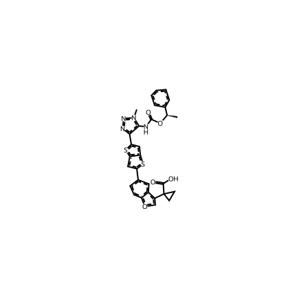 C[C@@H](OC(=O)Nc1c(-c2cc3sc(-c4ccc5occ(C6(C(=O)O)CC6)c5c4)cc3s2)nnn1C)c1ccccc1